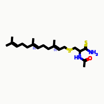 CC(=O)NC(CSC/C=C(\C)CC/C=C(\C)CCC=C(C)C)C(N)=S